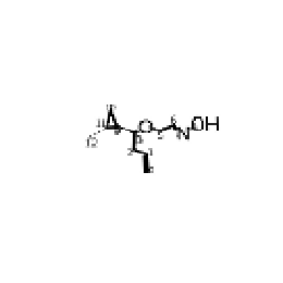 C=CCC(OCC=NO)[C@@H]1C[C@H]1C